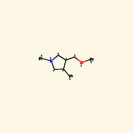 CC(C)OCC1CN(C(C)C)CC1C(C)C